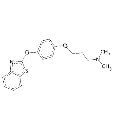 CN(C)CCCOc1ccc(Oc2nc3ccccc3s2)cc1